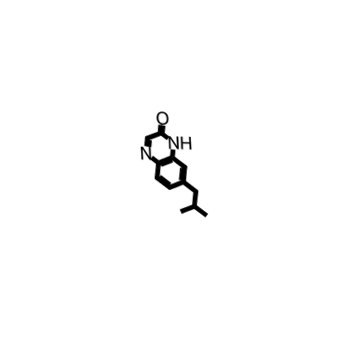 CC(C)Cc1ccc2ncc(=O)[nH]c2c1